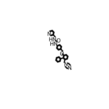 CN1CCN(Cc2cccc(OCc3ccc(NC(=O)NCc4cccnc4)cc3)c2-c2ccccc2)CC1